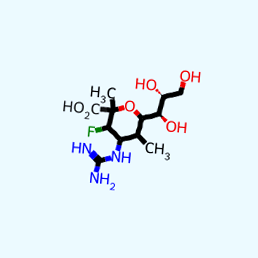 CC1C(NC(=N)N)C(F)C(C)(C(=O)O)OC1[C@H](O)[C@H](O)CO